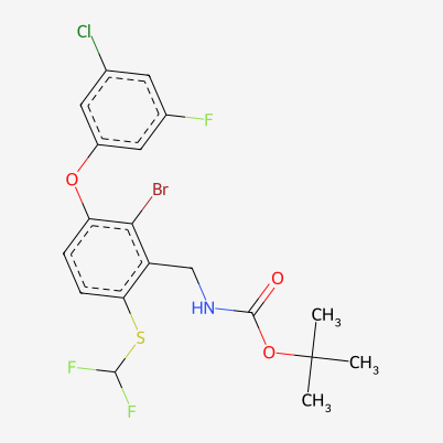 CC(C)(C)OC(=O)NCc1c(SC(F)F)ccc(Oc2cc(F)cc(Cl)c2)c1Br